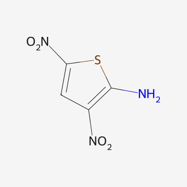 Nc1sc([N+](=O)[O-])cc1[N+](=O)[O-]